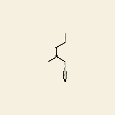 CC[CH]N(C)CC#N